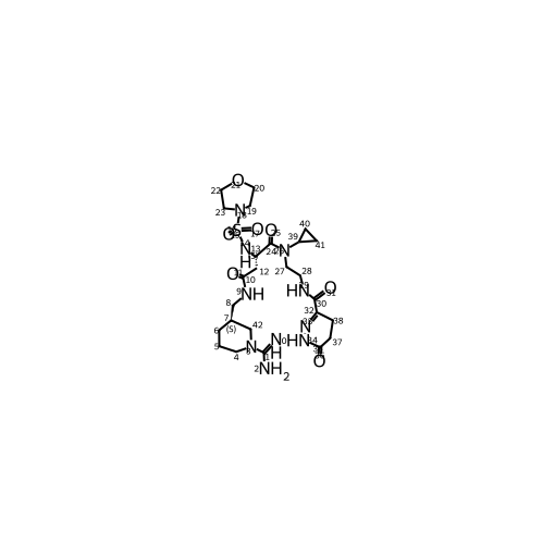 N=C(N)N1CCC[C@@H](CNC(=O)C[C@H](NS(=O)(=O)N2CCOCC2)C(=O)N(CCNC(=O)C2=NNC(=O)CC2)C2CC2)C1